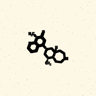 C[C@@H]1CN(c2cc(=O)n(C)c3ncccc23)C[C@@H]2CCNCCN21